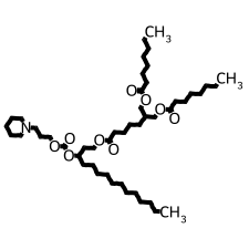 CCCCCCCCCCCCC(CCOC(=O)CCCCC(COC(=O)CCCCCCC)COC(=O)CCCCCCC)OC(=O)OCCCN1CCCCC1